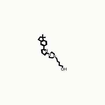 CC1(C)CCc2cc(-c3cccc(N4CCN(CCCCCO)CC4)n3)ccc21